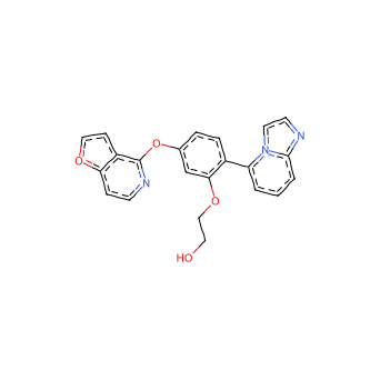 OCCOc1cc(Oc2nccc3occc23)ccc1-c1cccc2nccn12